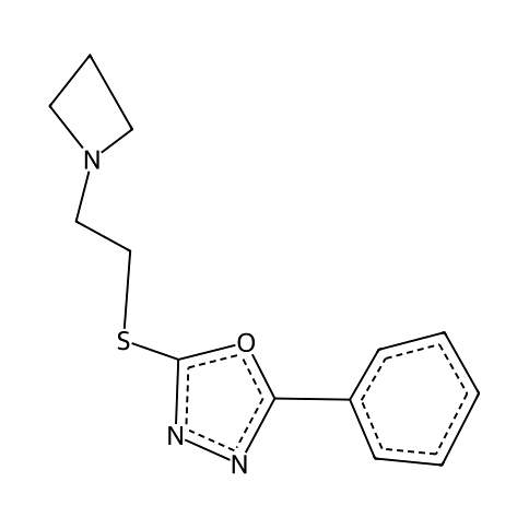 c1ccc(-c2nnc(SCCN3CCC3)o2)cc1